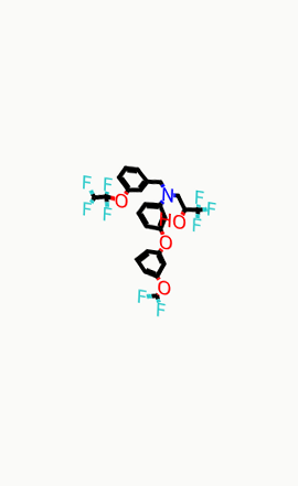 OC(CN(Cc1cccc(OC(F)(F)C(F)F)c1)c1cccc(Oc2cccc(OC(F)F)c2)c1)C(F)(F)F